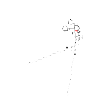 CCCCCCCCCCCCCCCCCC(=O)OCC(COC(=O)CCCCCCCCCCCCCCCCC)OCn1cnc2c(=O)[nH]c(NC(c3ccccc3)(c3ccccc3)c3ccc(OC)cc3)nc21